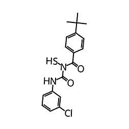 CC(C)(C)c1ccc(C(=O)N(S)C(=O)Nc2cccc(Cl)c2)cc1